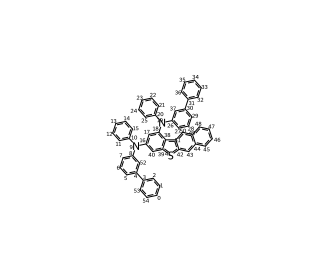 c1ccc(-c2cccc(N(c3ccccc3)c3cc(N(c4ccccc4)c4cccc(-c5ccccc5)c4)c4c(c3)sc3cc5ccccc5cc34)c2)cc1